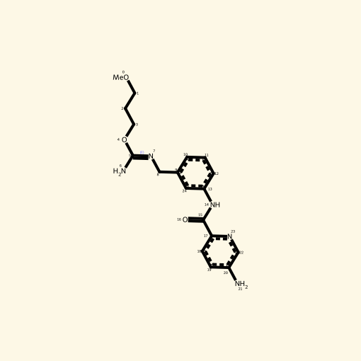 COCCCO/C(N)=N/Cc1cccc(NC(=O)c2ccc(N)cn2)c1